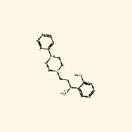 COc1ccccc1N(CCN1CCN(c2ccccc2)CC1)C(=O)O